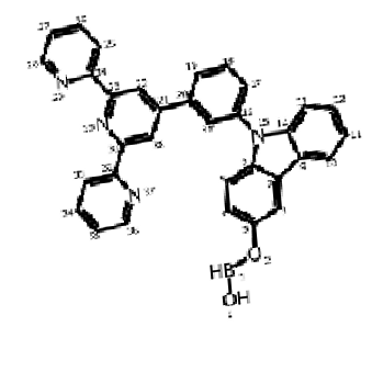 OBOc1ccc2c(c1)c1ccccc1n2-c1cccc(-c2cc(-c3ccccn3)nc(-c3ccccn3)c2)c1